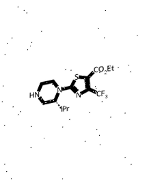 CCOC(=O)c1sc(N2CCNC[C@H]2C(C)C)nc1C(F)(F)F